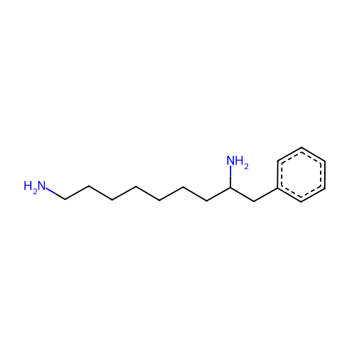 NCCCCCCCC(N)Cc1ccccc1